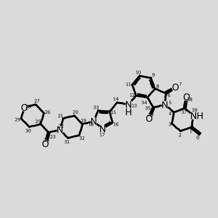 C=C1CCC(N2C(=O)c3cccc(NCc4cnn(C5CCN(C(=O)C6CCOCC6)CC5)c4)c3C2=O)C(=O)N1